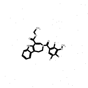 CCOC(=O)C1=CN(C(=O)c2cc(F)c(F)c(OC)c2F)CCc2c1[nH]c1ccccc21